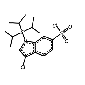 CC(C)S(C(C)C)(C(C)C)n1cc(Cl)c2ccc(S(=O)(=O)Cl)cc21